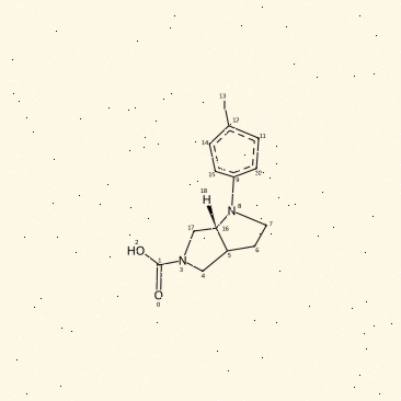 O=C(O)N1CC2CCN(c3ccc(I)cc3)[C@H]2C1